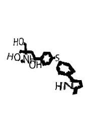 CNC(CO)(CO)CC(O)c1ccc(Sc2ccc(-c3ccc(C)[nH]3)cc2)cc1